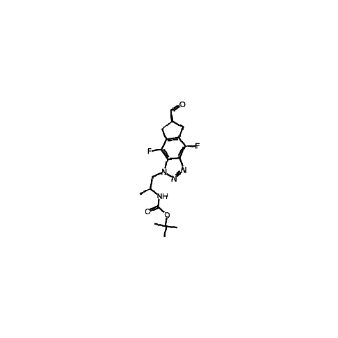 C[C@@H](Cn1nnc2c(F)c3c(c(F)c21)CC(C=O)C3)NC(=O)OC(C)(C)C